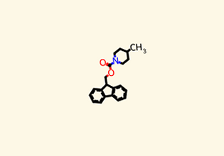 CC1CCN(C(=O)OCC2c3ccccc3-c3ccccc32)CC1